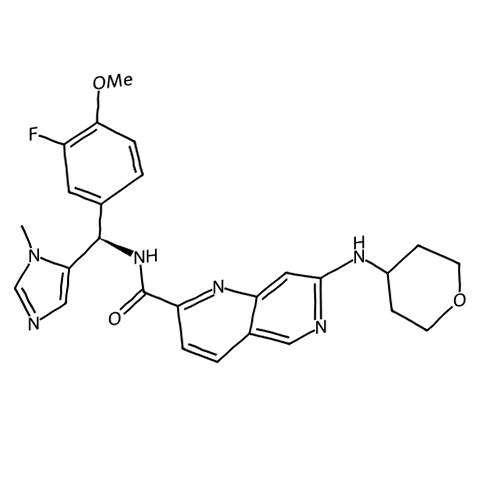 COc1ccc([C@@H](NC(=O)c2ccc3cnc(NC4CCOCC4)cc3n2)c2cncn2C)cc1F